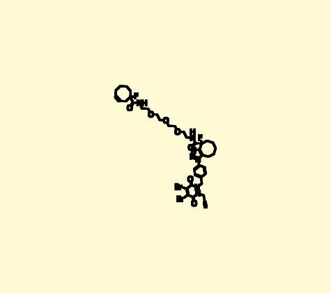 C#CCn1c(=O)c(Br)c(Br)c(=O)n1Cc1ccc(-n2nnc3c2CCCCCC3(F)C(=O)NCCOCCOCCOCCNC(=O)C2(F)CC#CCCCC2)cc1